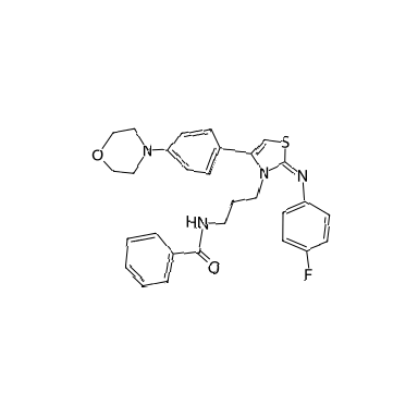 O=C(NCCCn1c(-c2ccc(N3CCOCC3)cc2)cs/c1=N/c1ccc(F)cc1)c1ccccc1